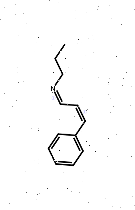 CCC/N=C\C=C/c1ccccc1